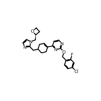 Fc1cc(Cl)ccc1COc1nccc(C2=CCC(Cc3nccn3C[C@@H]3CCO3)CC2)n1